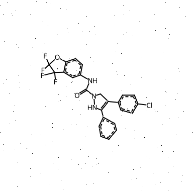 O=C(Nc1ccc2c(c1)C(F)(F)C(F)(F)O2)N1CC(c2ccc(Cl)cc2)=C(c2ccccc2)N1